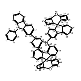 c1ccc(-n2c3ccccc3c3ccc(-c4cccc(N(c5ccc6c(c5)-c5ccccc5C65c6ccccc6Oc6ccccc65)c5cccc6c5-c5ccccc5C65c6ccccc6Oc6ccccc65)c4)cc32)cc1